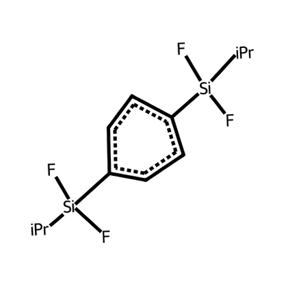 CC(C)[Si](F)(F)c1ccc([Si](F)(F)C(C)C)cc1